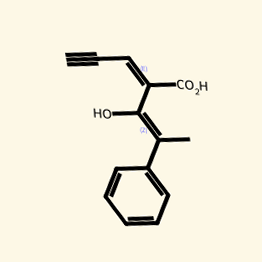 C#C/C=C(C(=O)O)\C(O)=C(/C)c1ccccc1